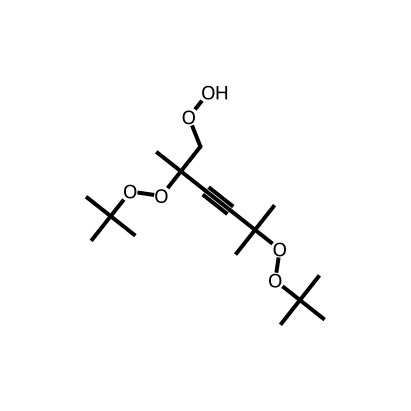 CC(C)(C)OOC(C)(C)C#CC(C)(COO)OOC(C)(C)C